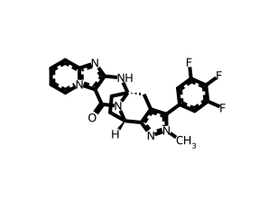 Cn1nc2c(c1-c1cc(F)c(F)c(F)c1)C[C@@]13CC[C@@H]2N1C(=O)c1c(nc2ccccn12)N3